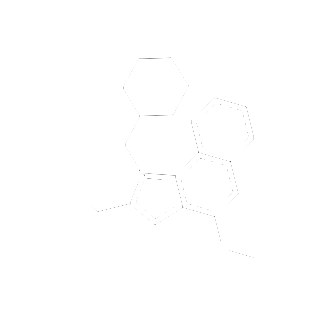 COc1cc2ccccc2c2c1cc(CO)n2CC1CCCCC1